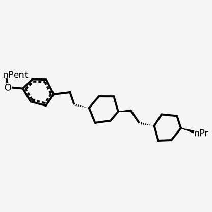 CCCCCOc1ccc(CC[C@H]2CC[C@H](CC[C@H]3CC[C@H](CCC)CC3)CC2)cc1